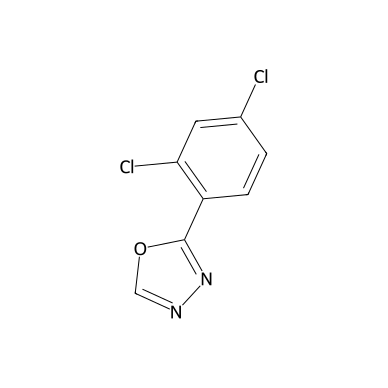 Clc1ccc(-c2nnco2)c(Cl)c1